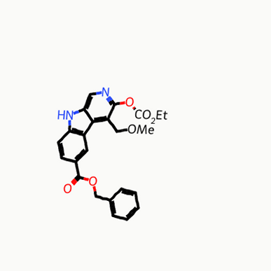 CCOC(=O)Oc1ncc2[nH]c3ccc(C(=O)OCc4ccccc4)cc3c2c1COC